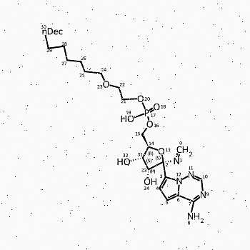 C=N[C@@]1(c2ccc3c(N)ncnn23)O[C@H](COP(=O)(O)OCCOCCCCCCCCCCCCCCCC)[C@@H](O)[C@H]1O